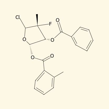 Cc1ccccc1C(=O)O[C@@H]1OC(Cl)[C@](C)(F)[C@@H]1OC(=O)c1ccccc1